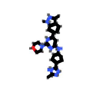 Cc1nnc(-c2ccc(Nc3cc(-c4ccc5c(C)nn(C)c5c4)nc(N4CCOCC4)n3)cc2)[nH]1